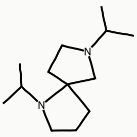 CC(C)N1CCC2(CCCN2C(C)C)C1